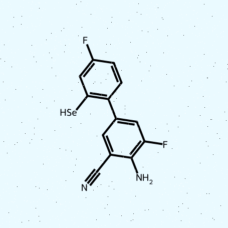 N#Cc1cc(-c2ccc(F)cc2[SeH])cc(F)c1N